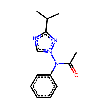 CC(=O)N(c1ccccc1)n1cnc(C(C)C)n1